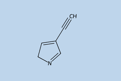 C#CC1=CCN=C1